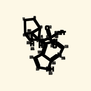 CCCS(=O)(=O)N[C@@H]1C2CCC1N(c1ncnc3[nH]ccc13)C2